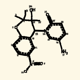 CC1(C)Oc2ccc([N+](=O)[O-])cc2C(n2cc(N)ccc2=O)C1(C)O